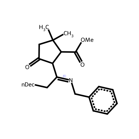 CCCCCCCCCCC/C(=N\Cc1ccccc1)C1C(=O)CC(C)(C)C1C(=O)OC